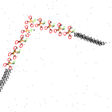 O=P([O-])([O-])F.O=P([O-])([O-])F.O=P([O-])([O-])F.O=P([O-])([O-])F.O=P([O-])([O-])F.O=P([O-])([O-])F.O=P([O-])([O-])F.O=P([O-])([O-])F.O=P([O-])([O-])F.[Na+].[Na+].[Na+].[Na+].[Na+].[Na+].[Na+].[Na+].[Na+].[Na+].[Na+].[Na+].[Na+].[Na+].[Na+].[Na+].[Na+].[Na+]